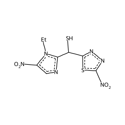 CCn1c([N+](=O)[O-])cnc1C(S)c1nnc([N+](=O)[O-])s1